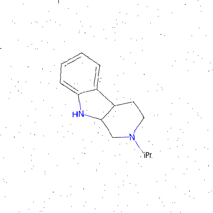 CC(C)N1CCC2c3ccccc3NC2C1